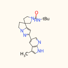 Cc1c[nH]c2ncc(-c3cc4n(n3)CCC43CCN(C(=O)NC(C)(C)C)C3)cc12